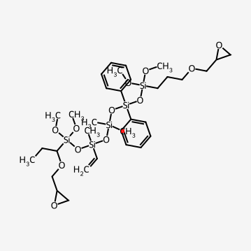 C=C[Si](C)(O[Si](C)(C)O[Si](O[Si](CCCOCC1CO1)(OC)OC)(c1ccccc1)c1ccccc1)O[Si](OC)(OC)C(CC)OCC1CO1